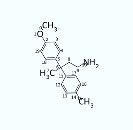 COc1ccc(C(C)(CCN)c2ccc(C)cc2)cc1